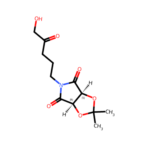 CC1(C)O[C@@H]2C(=O)N(CCCC(=O)CO)C(=O)[C@@H]2O1